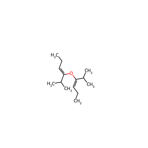 CCC=C(OC(=CCC)C(C)C)C(C)C